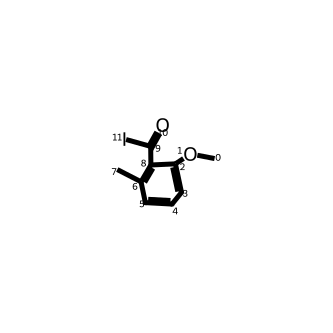 COc1cccc(C)c1C(=O)I